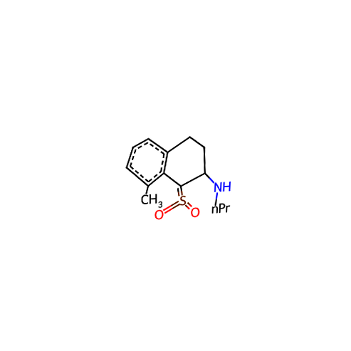 CCCNC1CCc2cccc(C)c2C1=S(=O)=O